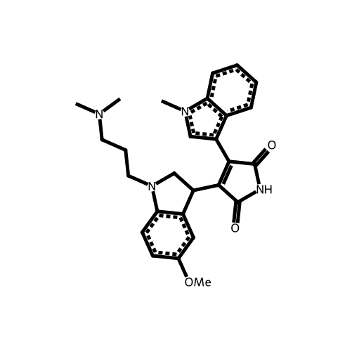 COc1ccc2c(c1)C(C1=C(c3cn(C)c4ccccc34)C(=O)NC1=O)CN2CCCN(C)C